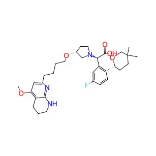 COc1cc(CCCCO[C@@H]2CCN([C@@H](C(=O)O)c3cc(F)ccc3[C@H]3CCC(C)(C)CO3)C2)nc2c1CCCN2